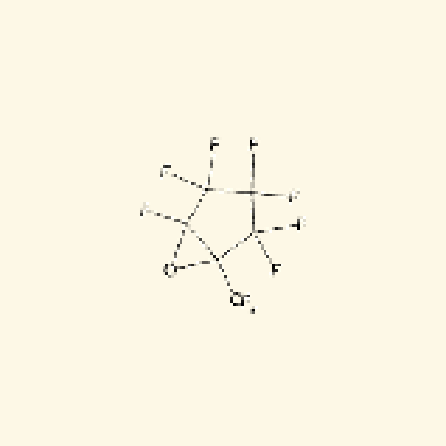 FC(F)(F)C12OC1(F)C(F)(F)C(F)(F)C2(F)F